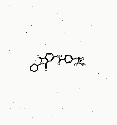 CC(C)S(=O)(=O)Nc1ccc(C(=O)Nc2ccc3c(c2)C(=O)N(C2CCCCC2)C3=O)cc1